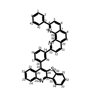 c1ccc(-c2ccc3ccc4ccc(-c5cccc(-c6c7ccccc7nc7c6sc6ccccc67)c5)nc4c3n2)cc1